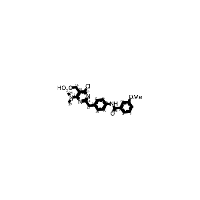 COc1cccc(C(=O)Nc2ccc(Cc3nc(Cl)c(CC(=O)O)c(N(C)C)n3)cc2)c1